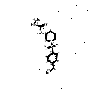 CC(C)(C)NC(=O)O[C@@H]1CCCN(S(=O)(=O)c2ccc(CBr)cc2)C1